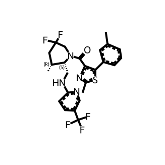 Cc1cccc(-c2sc(C)nc2C(=O)N2CC(F)(F)C[C@@H](C)[C@H]2CNc2ccc(C(F)(F)F)cn2)c1